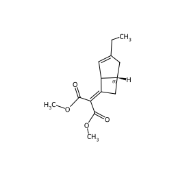 CCC1=CC2C(=C(C(=O)OC)C(=O)OC)C[C@H]2C1